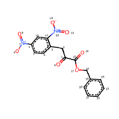 O=C(Cc1ccc([N+](=O)[O-])cc1[N+](=O)[O-])C(=O)OCc1ccccc1